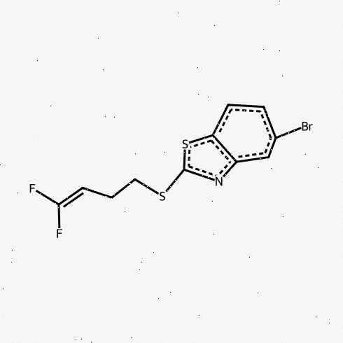 FC(F)=CCCSc1nc2cc(Br)ccc2s1